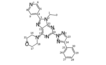 CCn1c(-c2ccncc2)nc2c(N3CCOCC3)nc(-n3ncc(-c4ccccc4)n3)nc21